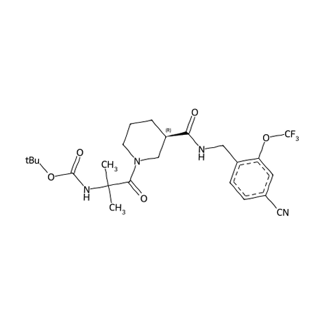 CC(C)(C)OC(=O)NC(C)(C)C(=O)N1CCC[C@@H](C(=O)NCc2ccc(C#N)cc2OC(F)(F)F)C1